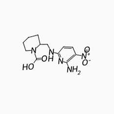 Nc1nc(NCC2CCCCN2C(=O)O)ccc1[N+](=O)[O-]